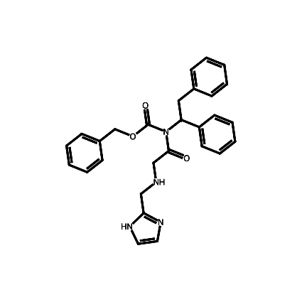 O=C(CNCc1ncc[nH]1)N([C](Cc1ccccc1)c1ccccc1)C(=O)OCc1ccccc1